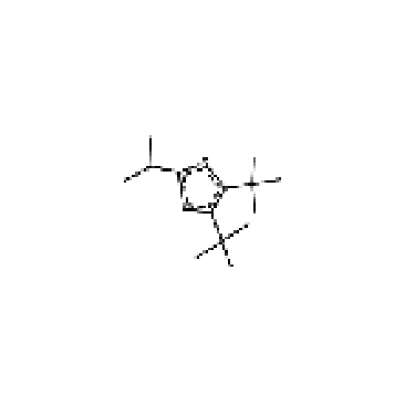 CC(C)c1cc(C(C)(C)C)c(C(C)(C)C)s1